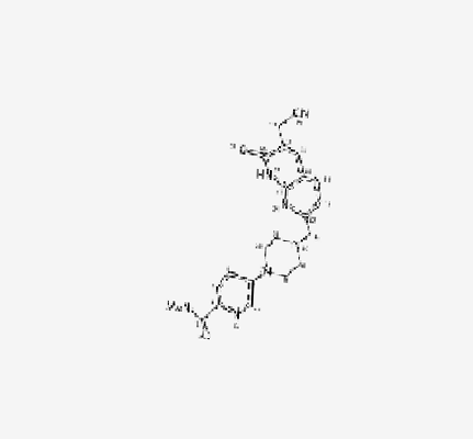 CNC(=O)c1ccc(N2CCN(Cc3cnc4cc(CC#N)c(=O)[nH]c4n3)CC2)cn1